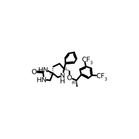 C[C@@H](OC[C@@]1(c2ccccc2)CC[C@@]2(CNC(=O)N2)CN1)c1cc(C(F)(F)F)cc(C(F)(F)F)c1